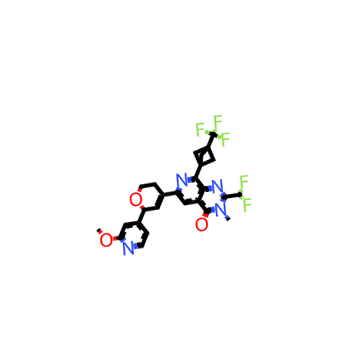 COc1cc(C2C=C(c3cc4c(=O)n(C)c(C(F)F)nc4c(C45CC(C(F)(F)F)(C4)C5)n3)CCO2)ccn1